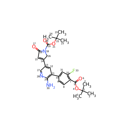 CC(C)(C)OC(=O)c1ccc(-c2cc(C3=CC(=O)N(C(=O)OC(C)(C)C)C3)cnc2N)cc1F